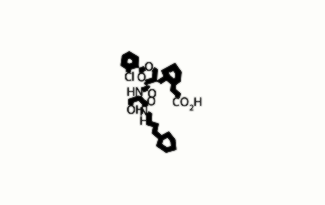 O=C(O)CCc1ccccc1C[C@H]1CO[C@@H](c2ccccc2Cl)O[C@H]1C(=O)NC(CO)C(=O)NCCCCC1CCCCC1